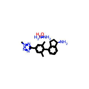 Cc1cc(-c2nnn(C)n2)cc(C)c1-c1cccc2c1CC[C@H]2N.NN.O